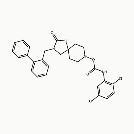 O=C(Nc1cc(Cl)ccc1Cl)ON1CCC2(CC1)CN(Cc1ccccc1-c1ccccc1)C(=O)O2